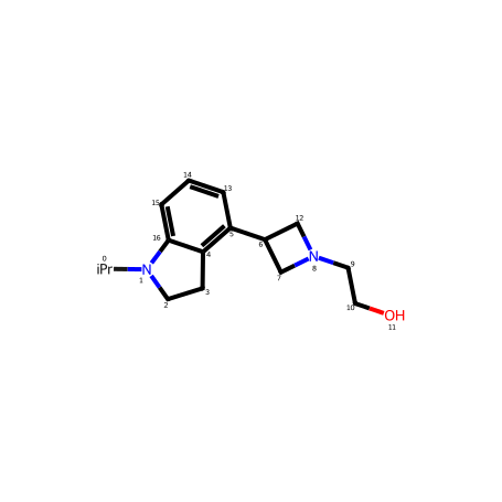 CC(C)N1CCc2c(C3CN(CCO)C3)cccc21